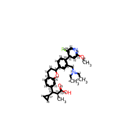 CCN(CC)Cc1cc(C2CCc3ccc(C(C4CC4)[C@H](C)C(=O)O)cc3O2)ccc1-c1cc(OC)ncc1F